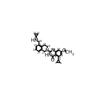 COc1cc(C2CC2)c2c(=O)[nH]c(N3CCc4c(CNC5CC5)cccc4C3)nc2c1